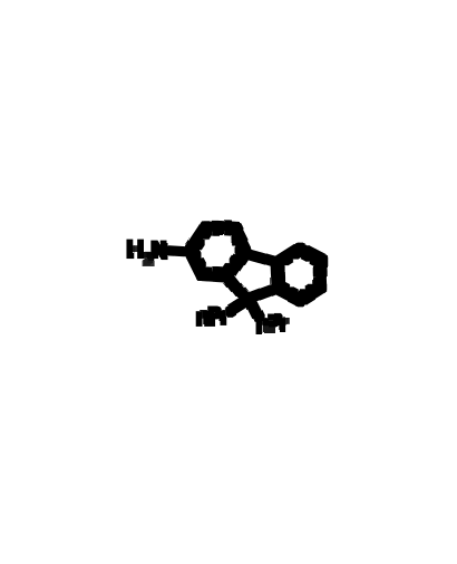 CCCC1(CCC)c2ccccc2-c2ccc(N)cc21